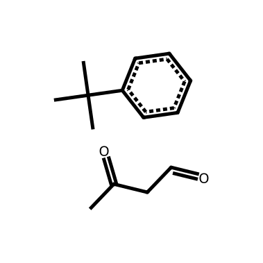 CC(=O)CC=O.CC(C)(C)c1ccccc1